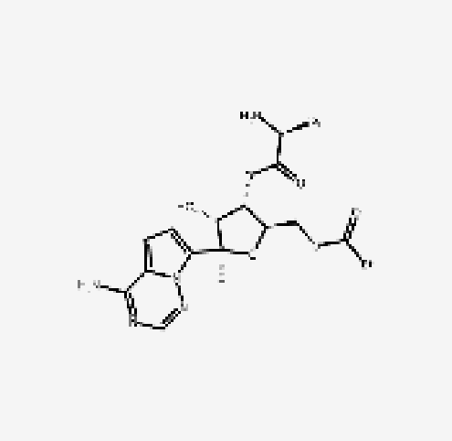 CCC(=O)OC[C@H]1O[C@@](C)(c2ccc3c(N)ncnn23)[C@H](O)[C@@H]1OC(=O)[C@@H](N)C(C)C